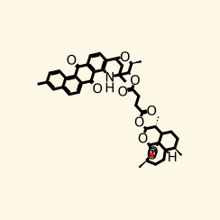 Cc1ccc2c3c(ccc2c1)C(=O)c1c(ccc2c1NC1(C)CC2O[C@@H](C)[C@@H]1OC(=O)CCC(=O)OC1OC2O[C@]4(C)CC[C@H]5[C@H](C)CCC([C@H]1C)[C@@]25OO4)C3=O